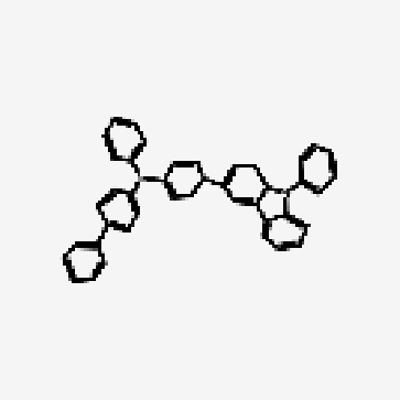 C1=CC(C2=CCC3C(=C2)c2ccccc2N3c2ccccc2)CC=C1N(c1ccccc1)c1ccc(-c2ccccc2)cc1